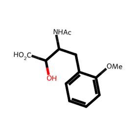 COc1ccccc1CC(NC(C)=O)C(O)C(=O)O